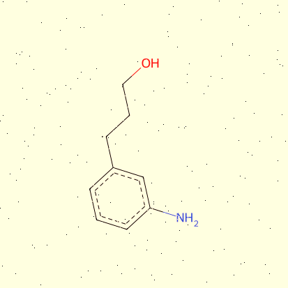 Nc1cccc([CH]CCO)c1